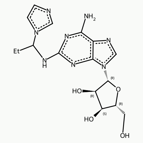 CCC(Nc1nc(N)c2ncn([C@@H]3O[C@H](CO)[C@@H](O)[C@H]3O)c2n1)n1ccnc1